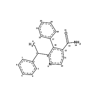 CC(c1ccccc1)c1nccc(C(N)=O)c1-c1ccccc1